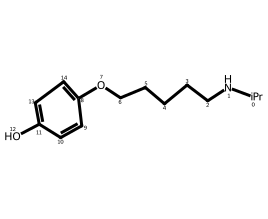 CC(C)NCCCCCOc1ccc(O)cc1